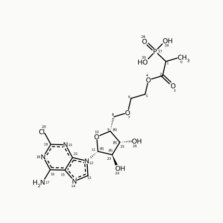 CC(C(=O)OCCOC[C@H]1O[C@@H](n2cnc3c(N)nc(Cl)nc32)[C@H](O)[C@H]1O)P(=O)(O)O